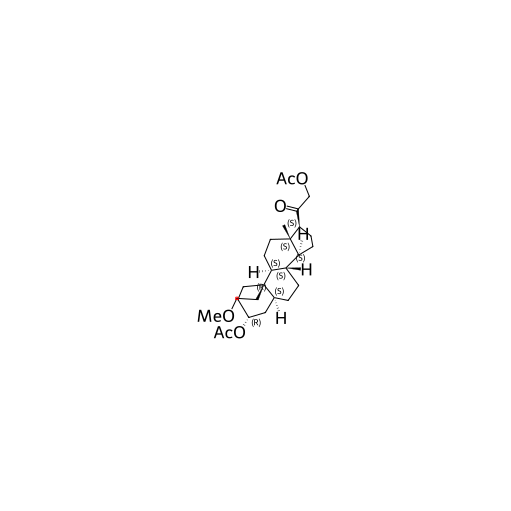 COCC[C@]12CC[C@@H](OC(C)=O)C[C@@H]1CC[C@H]1[C@@H]3CC[C@H](C(=O)COC(C)=O)[C@@]3(C)CC[C@@H]12